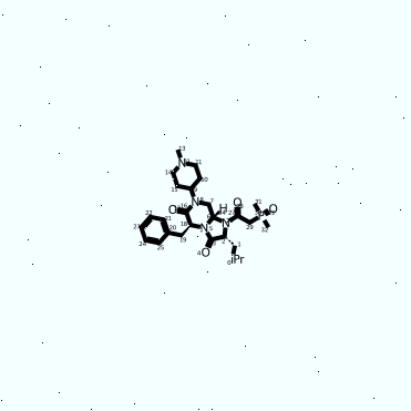 CC(C)C[C@@H]1C(=O)N2[C@H](CN(C3CCN(C)CC3)C(=O)[C@@H]2Cc2ccccc2)N1C(=O)CP(C)(C)=O